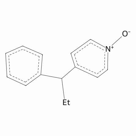 CCC(c1ccccc1)c1cc[n+]([O-])cc1